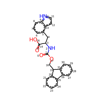 O=C(NC(Cc1cccc2[nH]ccc12)C(=O)O)OCC1c2ccccc2-c2ccccc21